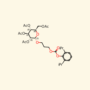 CC(=O)OC[C@H]1O[C@H](OCCCOC(=O)Oc2c(C(C)C)cccc2C(C)C)[C@H](OC(C)=O)[C@@H](OC(C)=O)[C@@H]1OC(C)=O